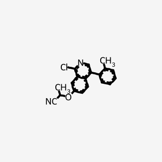 Cc1ccccc1-c1cnc(Cl)c2cc(OC(C)C#N)ccc12